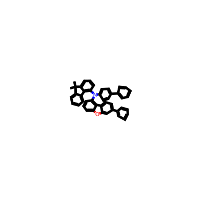 CC1(C)c2ccccc2-c2c(N(c3ccc(-c4ccccc4)cc3)c3cccc4oc5cc(-c6ccccc6)ccc5c34)cccc21